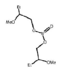 CCC(CO[N+](=O)OCC(CC)OC)OC